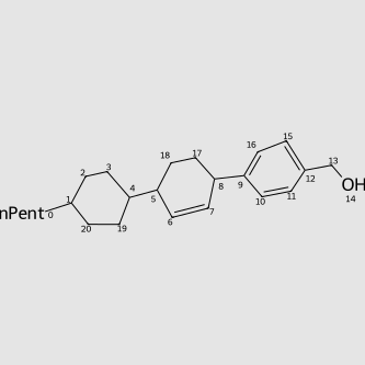 CCCCCC1CCC(C2C=CC(c3ccc(CO)cc3)CC2)CC1